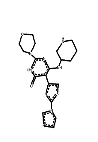 O=c1[nH]c(N2CCOCC2)nc(NC2CCCNC2)c1-c1csc(-n2ccnc2)n1